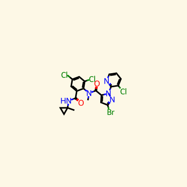 CN(C(=O)c1cc(Br)nn1-c1ncccc1Cl)c1c(Cl)cc(Cl)cc1C(=O)NC1(C)CC1